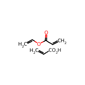 C=CC(=O)O.C=COC(=O)C=C